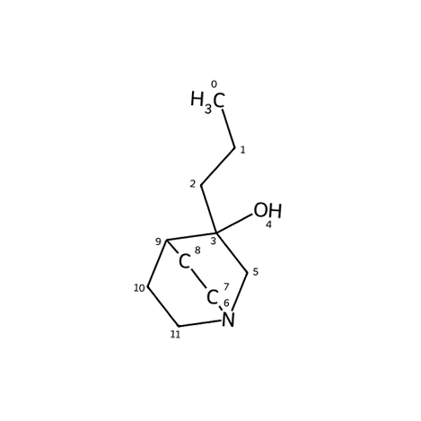 CCCC1(O)CN2CCC1CC2